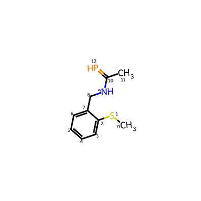 CSc1ccccc1CNC(C)=P